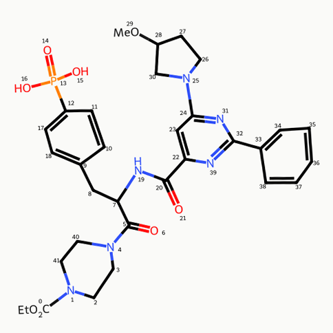 CCOC(=O)N1CCN(C(=O)C(Cc2ccc(P(=O)(O)O)cc2)NC(=O)c2cc(N3CCC(OC)C3)nc(-c3ccccc3)n2)CC1